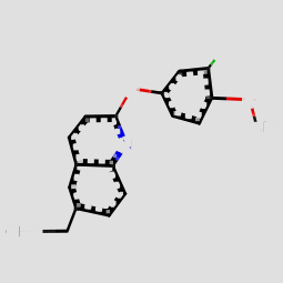 CCCOc1ccc(Oc2ccc3cc(CC=O)ccc3n2)cc1Cl